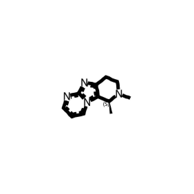 C[C@H]1c2c(nc3ncccn23)CCN1C